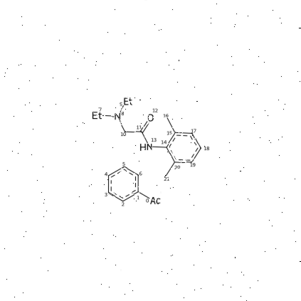 CC(=O)c1ccccc1.CCN(CC)CC(=O)Nc1c(C)cccc1C